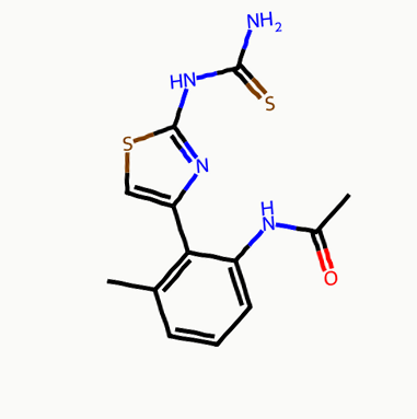 CC(=O)Nc1cccc(C)c1-c1csc(NC(N)=S)n1